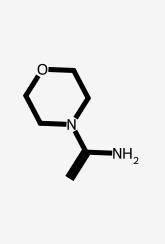 C=C(N)N1CCOCC1